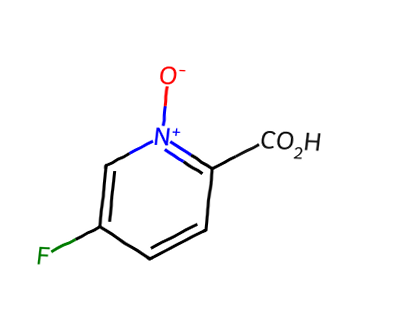 O=C(O)c1ccc(F)c[n+]1[O-]